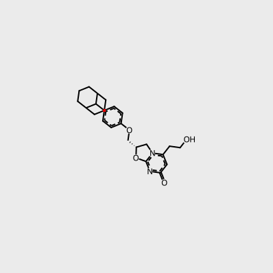 O=c1cc(CCO)n2c(n1)O[C@H](COc1ccc(C3C4CCCC3CCC4)cc1)C2